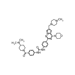 CN1CCN(Cc2cc3c(N4CCOCC4)nc(-c4ccc(NC(=O)Nc5ccc(C(=O)N6CCC(N(C)C)CC6)cc5)cc4)nn3c2)CC1